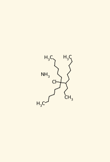 CCCCCCC(CCC)C(Cl)(CCCCCC)CCCCCC.N